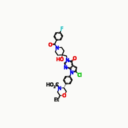 CC[C@H]1CN(C(=O)O)[C@H](c2ccc(-n3c(Cl)cc4c(=O)n(CC5(O)CCN(C(=O)c6ccc(F)cc6)CC5)cnc43)cc2)CO1